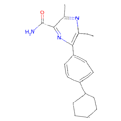 Cc1nc(C)c(-c2ccc(C3CC[CH]CC3)cc2)nc1C(N)=O